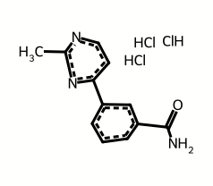 Cc1nccc(-c2cccc(C(N)=O)c2)n1.Cl.Cl.Cl